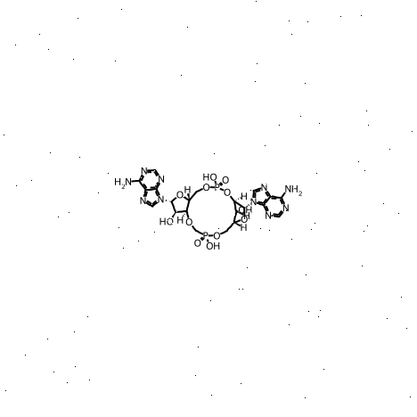 Nc1ncnc2c1ncn2[C@@H]1O[C@@H]2COP(=O)(O)O[C@@H]3[C@H](O)[C@@H](COP(=O)(O)CO[C@H]2[C@H]1O)O[C@H]3n1cnc2c(N)ncnc21